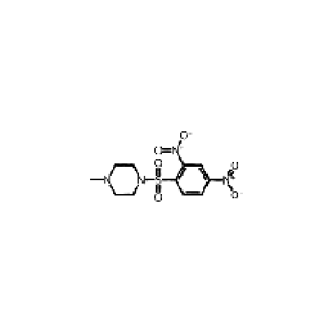 CN1CCN(S(=O)(=O)c2ccc([N+](=O)[O-])cc2[N+](=O)[O-])CC1